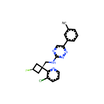 N#Cc1cccc(-c2cnc(NC[C@]3(c4ncccc4Cl)C[C@H](F)C3)nn2)c1